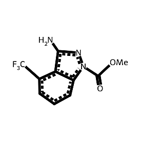 COC(=O)n1nc(N)c2c(C(F)(F)F)cccc21